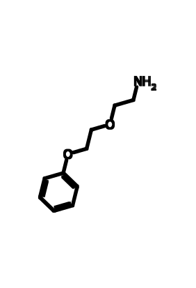 NCCOCCOc1ccccc1